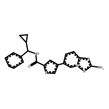 Nc1nc2ccc(-c3csc(C(=O)NC(c4ccccc4)C4CC4)c3)cn2n1